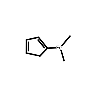 [CH3][Fe]([CH3])[C]1=CC=CC1